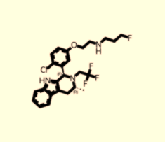 C[C@@H]1Cc2c([nH]c3ccccc23)[C@@H](c2cc(OCCNCCCF)ccc2Cl)N1CC(F)(F)F